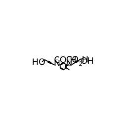 Cc1ccc(N(CC#CCO)C(=O)O)cc1N(CC#CCO)C(=O)O